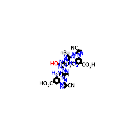 CCCCc1nn(-c2nc(O)nc(-n3ncc(/N=N/c4c(C#N)cnn4-c4cc(C(=O)O)cc(C(=O)O)c4)c3N)n2)c(N)c1/N=N/c1c(C#N)cnn1-c1cc(C(=O)O)cc(C(=O)O)c1